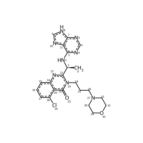 C[C@H](Nc1ncnc2[nH]cnc12)c1nc2cccc(Cl)c2c(=O)n1CCCN1CCOCC1